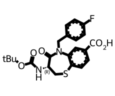 CC(C)(C)OC(=O)N[C@H]1CSc2ccc(C(=O)O)cc2N(Cc2ccc(F)cc2)C1=O